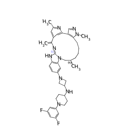 C=C1/N=C2\Nc3ccc(N4CC(NC5CCN(c6cc(F)cc(F)c6)CC5)C4)cc3N2C[C@H](C)CCCCc2c(cnn2C)-c2cc1cc(C)n2